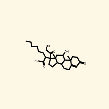 CCCCCCC(C(=O)O)C1(C(=O)CO)CCC2C3CCC4=CC(=O)CCC4(C)C3C(O)CC21C